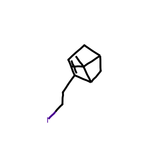 CC1(C)C2CC=C(CCI)C1C2